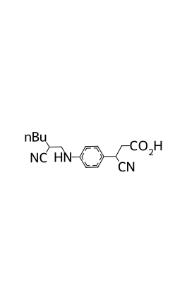 CCCCC(C#N)CNc1ccc(C(C#N)CC(=O)O)cc1